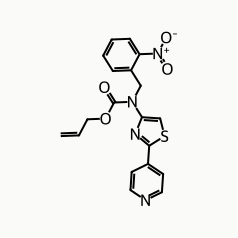 C=CCOC(=O)N(Cc1ccccc1[N+](=O)[O-])c1csc(-c2ccncc2)n1